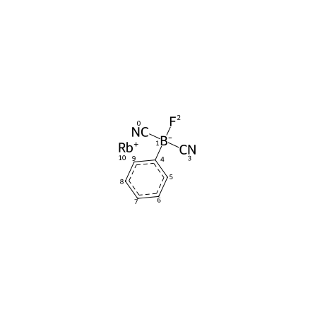 N#C[B-](F)(C#N)c1ccccc1.[Rb+]